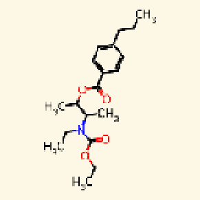 CCCc1ccc(C(=O)OC(C)C(C)N(CC)C(=O)OCC)cc1